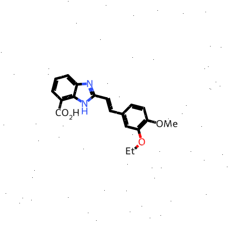 CCOc1cc(C=Cc2nc3cccc(C(=O)O)c3[nH]2)ccc1OC